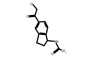 O=C(CCl)c1ccc2c(c1)CCC2NC(=O)C(F)(F)F